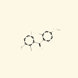 COc1ccc(C(=O)c2cccc(Cl)c2C)c(O)c1